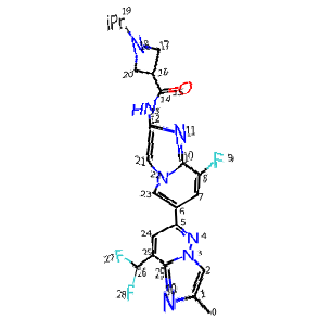 Cc1cn2nc(-c3cc(F)c4nc(NC(=O)C5CN(C(C)C)C5)cn4c3)cc(C(F)F)c2n1